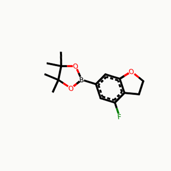 CC1(C)OB(c2cc(F)c3c(c2)OCC3)OC1(C)C